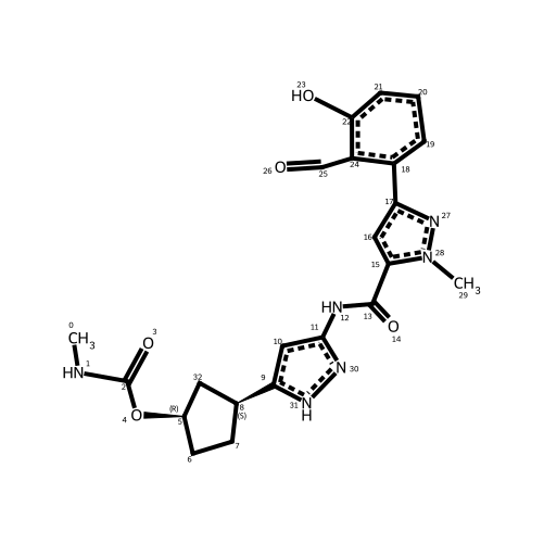 CNC(=O)O[C@@H]1CC[C@H](c2cc(NC(=O)c3cc(-c4cccc(O)c4C=O)nn3C)n[nH]2)C1